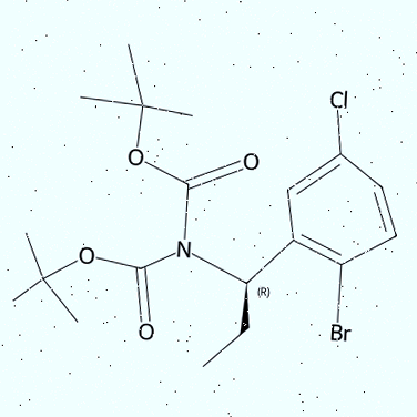 CC[C@H](c1cc(Cl)ccc1Br)N(C(=O)OC(C)(C)C)C(=O)OC(C)(C)C